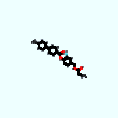 C=CC(=O)OCc1ccc(OC(=O)C2CCC(C3CCC(CCC)CC3)CC2)c(F)c1